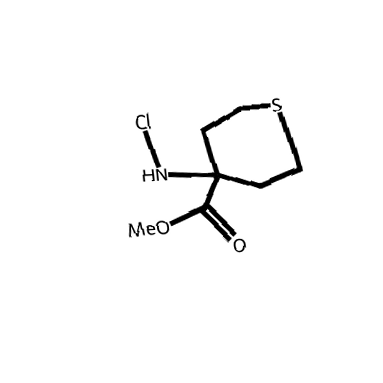 COC(=O)C1(NCl)CCSCC1